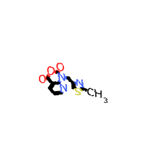 Cc1nc(Cn2c(=O)oc(=O)c3cccnc32)cs1